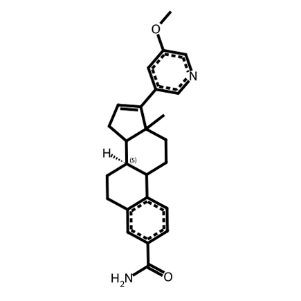 COc1cncc(C2=CCC3[C@@H]4CCc5cc(C(N)=O)ccc5C4CCC23C)c1